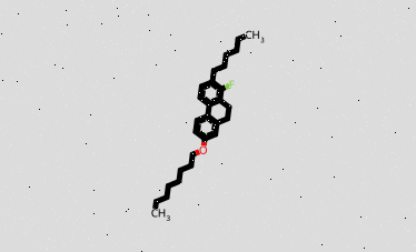 CCCCCCCCOc1ccc2c(c1)CCc1c-2ccc(CCCCCC)c1F